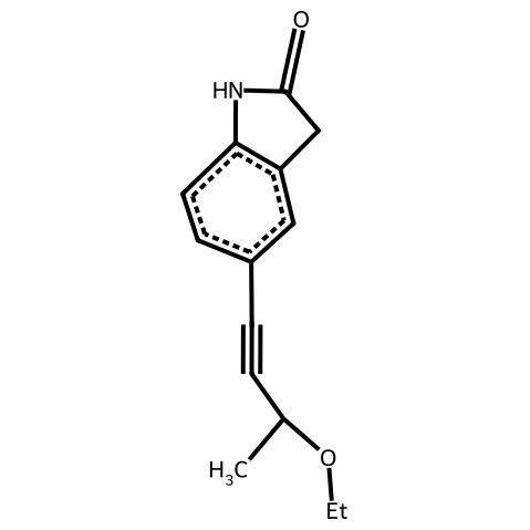 CCOC(C)C#Cc1ccc2c(c1)CC(=O)N2